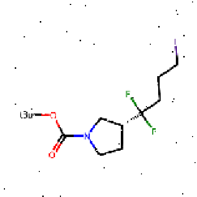 CC(C)(C)OC(=O)N1CC[C@@H](C(F)(F)CCCI)C1